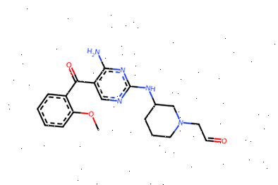 COc1ccccc1C(=O)c1cnc(NC2CCCN(CC=O)C2)nc1N